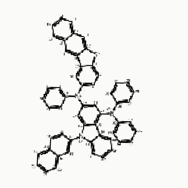 c1ccc(N(c2ccc3sc4cc5ccccc5cc4c3c2)c2cc(N(c3ccccc3)c3ccccc3)c3c4ccccc4n(-c4ccc5ccccc5c4)c3c2)cc1